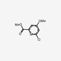 COC(=O)c1cc(OC)cc(Cl)n1